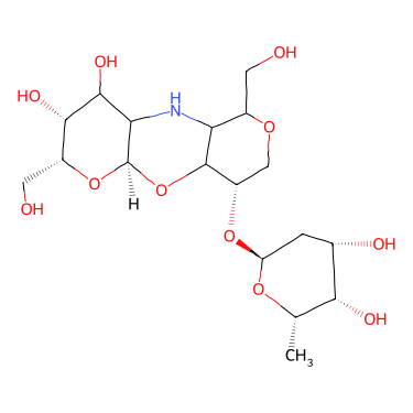 C[C@@H]1O[C@@H](O[C@H]2COC(CO)C3NC4C(O)[C@@H](O)[C@@H](CO)O[C@@H]4OC32)C[C@H](O)[C@@H]1O